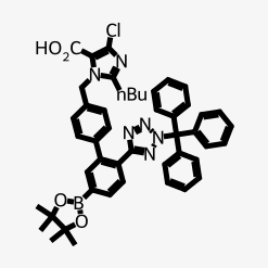 CCCCc1nc(Cl)c(C(=O)O)n1Cc1ccc(-c2cc(B3OC(C)(C)C(C)(C)O3)ccc2-c2nnn(C(c3ccccc3)(c3ccccc3)c3ccccc3)n2)cc1